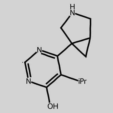 CC(C)c1c(O)n[c]nc1C12CNCC1C2